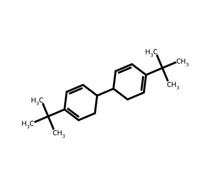 CC(C)(C)C1=CCC(C2C=CC(C(C)(C)C)=CC2)C=C1